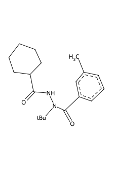 Cc1cccc(C(=O)N(NC(=O)C2CCCCC2)C(C)(C)C)c1